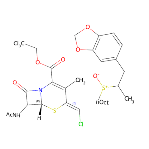 CC(=O)NC1C(=O)N2C(C(=O)OCC(Cl)(Cl)Cl)=C(C)/C(=C/Cl)S[C@H]12.CCCCCCCC[S+]([O-])C(C)Cc1ccc2c(c1)OCO2